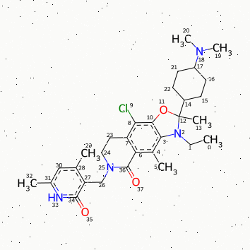 CCN1c2c(C)c3c(c(Cl)c2OC1(C)C1CCC(N(C)C)CC1)CCN(Cc1c(C)cc(C)[nH]c1=O)C3=O